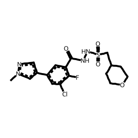 Cn1cc(-c2cc(Cl)c(F)c(C(=O)NNS(=O)(=O)CC3CCOCC3)c2)cn1